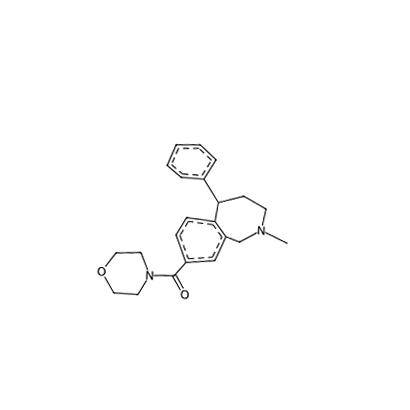 CN1CCC(c2ccccc2)c2ccc(C(=O)N3CCOCC3)cc2C1